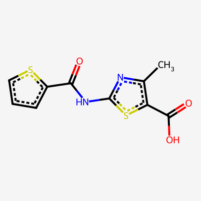 Cc1nc(NC(=O)c2cccs2)sc1C(=O)O